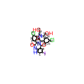 O=C1Nc2ccc(I)cc2C(=O)N(C(C(=O)N(CCO)CCO)c2ccc(Cl)cc2)C1c1ccc(Cl)cc1